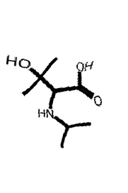 CC(C)NC(C(=O)O)C(C)(C)O